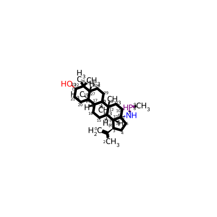 C=C(C)[C@@H]1CC[C@]2(NPC)CC[C@]3(C)[C@H](CC[C@@H]4[C@@]5(C)CC[C@H](O)C(C)(C)[C@@H]5CC[C@]43C)[C@@H]12